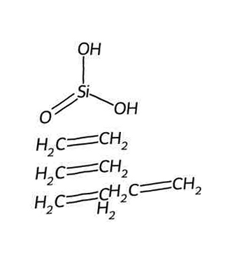 C=C.C=C.C=C.C=C.O=[Si](O)O